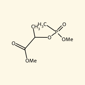 COC(=O)C(C)OP(C)(=O)OC